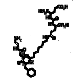 NCCNC(=O)CNC(=O)[C@H](CC1CCCCC1)NC(=O)CCCCCCCNC(=O)CCC(NC(=O)NC(CCC(=O)O)C(=O)O)C(=O)O